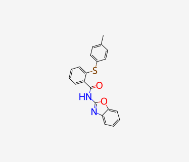 Cc1ccc(Sc2ccccc2C(=O)Nc2nc3ccccc3o2)cc1